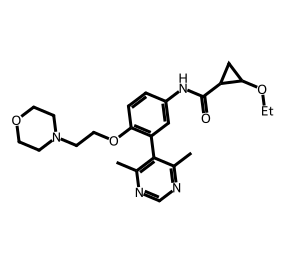 CCOC1CC1C(=O)Nc1ccc(OCCN2CCOCC2)c(-c2c(C)ncnc2C)c1